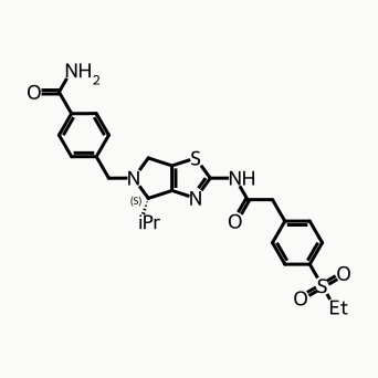 CCS(=O)(=O)c1ccc(CC(=O)Nc2nc3c(s2)CN(Cc2ccc(C(N)=O)cc2)[C@H]3C(C)C)cc1